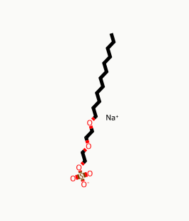 CCCCCCCCCCCCOCCOCCOS(=O)(=O)[O-].[Na+]